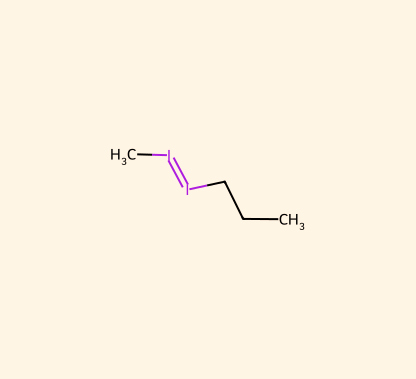 CCCI=IC